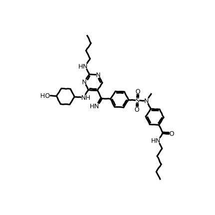 CCCCCNC(=O)c1ccc(N(C)S(=O)(=O)c2ccc(C(=N)c3cnc(NCCCC)nc3NC3CCC(O)CC3)cc2)cc1